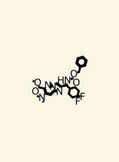 COC(=O)c1nn2cc([C@@H](NC(=O)OCc3ccccc3)C3CCC(F)(F)CC3)nc2cc1N(C)C